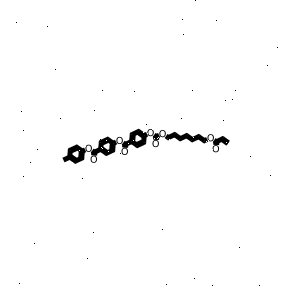 C=CC(=O)OCCCCCCCOC(=O)Oc1ccc(C(=O)Oc2ccc(C(=O)Oc3ccc(C)cc3)cc2)cc1